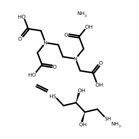 C=C.N.N.O=C(O)CN(CCN(CC(=O)O)CC(=O)O)CC(=O)O.O[C@H](CS)[C@H](O)CS